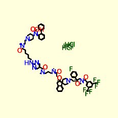 CN(CCN1CCC(N(C(=O)O)c2ccccc2-c2ccccc2)CC1)C(=O)CCCCCNc1ncc(C(=O)N(C)CCCN(C)C(=O)CO[C@H]2Cc3ccccc3C23CCN(CC[C@]2(c4ccc(F)cc4)CN(C(=O)c4cc(C(F)(F)F)cc(C(F)(F)F)c4)CO2)CC3)cn1.Cl.Cl.Cl